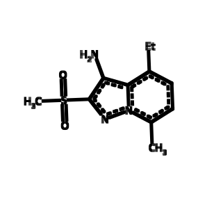 CCc1ccc(C)n2nc(S(C)(=O)=O)c(N)c12